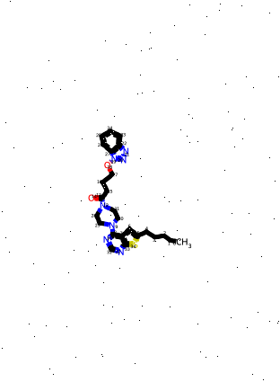 CCCCCc1cc2c(N3CCN(C(=O)CCCOn4nnc5ccccc54)CC3)ncnc2s1